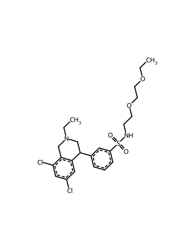 CCOCCOCCNS(=O)(=O)c1cccc(C2CN(CC)Cc3c(Cl)cc(Cl)cc32)c1